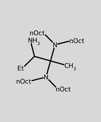 CCCCCCCCN(CCCCCCCC)C(C)(C(N)CC)N(CCCCCCCC)CCCCCCCC